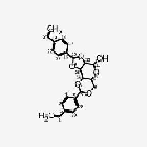 C=Cc1ccc(C2OCC3OC(O)C4OC(c5ccc(C=C)cc5)OC4C3O2)cc1